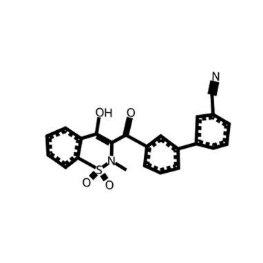 CN1C(C(=O)c2cccc(-c3cccc(C#N)c3)c2)=C(O)c2ccccc2S1(=O)=O